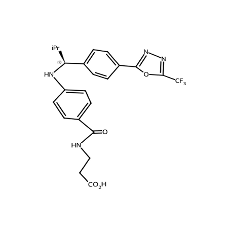 CC(C)[C@H](Nc1ccc(C(=O)NCCC(=O)O)cc1)c1ccc(-c2nnc(C(F)(F)F)o2)cc1